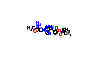 C[C@@H]1OCC2(CCN(c3nc4[nH]nc(-c5cccc(OC(=O)N(C)C)c5Cl)c4c4nccn34)CC2)[C@@H]1N